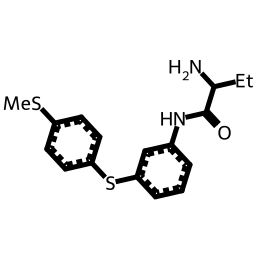 CCC(N)C(=O)Nc1cccc(Sc2ccc(SC)cc2)c1